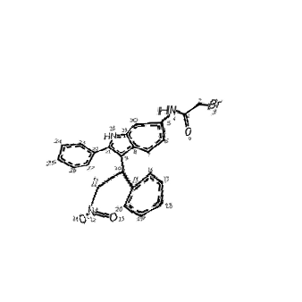 O=C(CBr)Nc1ccc2c(C(C[N+](=O)[O-])c3ccccc3)c(-c3ccccc3)[nH]c2c1